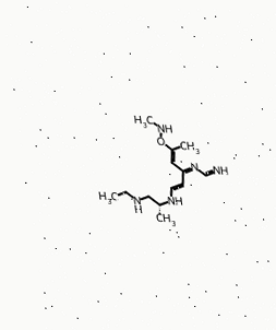 CCNC[C@@H](C)N/C=C/C(/C=C(\C)ONC)=N\C=N